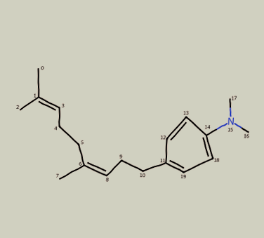 CC(C)=CCCC(C)=CCCc1ccc(N(C)C)cc1